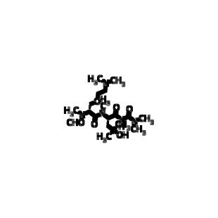 CN(C)CCOC[C@H](C(=O)N(C)[C@@H](CC(C)(C)O)C(=O)NC(=O)N(C)C)N(C)C=O